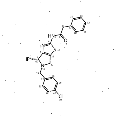 CC(C)[C@H]1c2nc(NC(=O)Cc3ccccc3)sc2CN1Cc1ccc(Cl)cc1